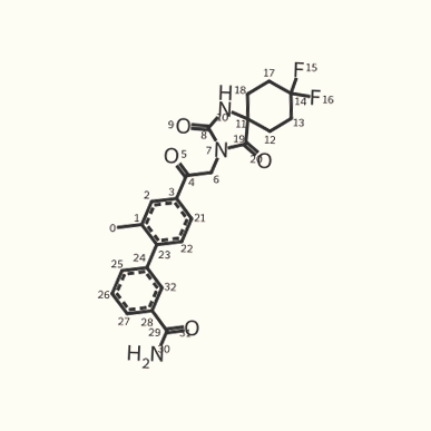 Cc1cc(C(=O)CN2C(=O)NC3(CCC(F)(F)CC3)C2=O)ccc1-c1cccc(C(N)=O)c1